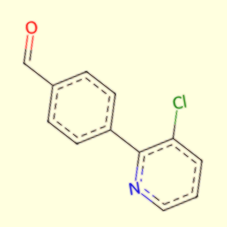 O=Cc1ccc(-c2ncccc2Cl)cc1